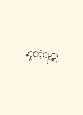 CCC(N)[C@]1(C2CCOCC2)CC[C@@H](Oc2cc3cc[nH]c(=O)c3cc2Cl)CC1